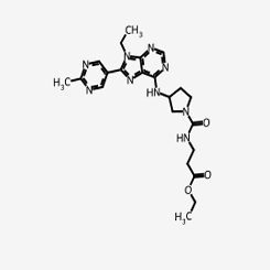 CCOC(=O)CCNC(=O)N1CCC(Nc2ncnc3c2nc(-c2cnc(C)nc2)n3CC)C1